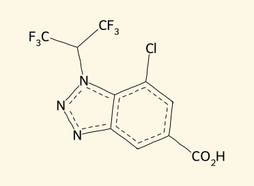 O=C(O)c1cc(Cl)c2c(c1)nnn2C(C(F)(F)F)C(F)(F)F